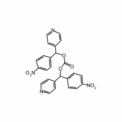 O=C(OC(c1ccncc1)c1ccc([N+](=O)[O-])cc1)OC(c1ccncc1)c1ccc([N+](=O)[O-])cc1